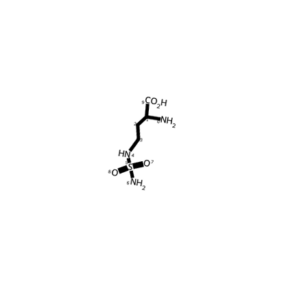 NC(CCNS(N)(=O)=O)C(=O)O